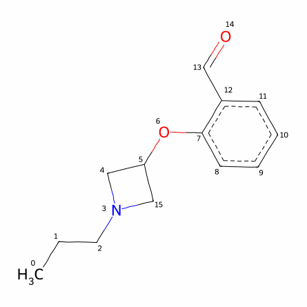 CCCN1CC(Oc2ccccc2C=O)C1